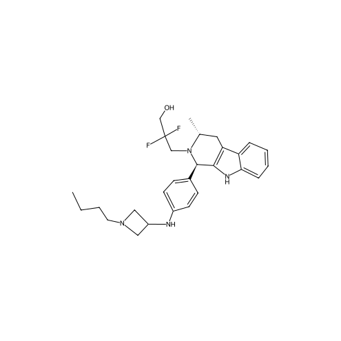 CCCCN1CC(Nc2ccc([C@@H]3c4[nH]c5ccccc5c4C[C@@H](C)N3CC(F)(F)CO)cc2)C1